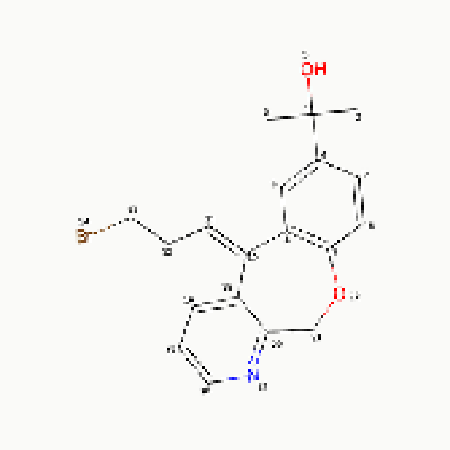 CC(C)(O)c1ccc2c(c1)/C(=C/CCBr)c1cccnc1CO2